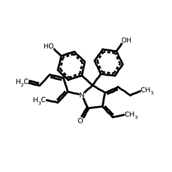 C=C/C=C\C(=C/C)N1C(=O)C(=C/C)/C(=C\CC)C1(c1ccc(O)cc1)c1ccc(O)cc1